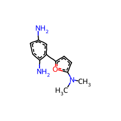 CN(C)c1ccc(-c2cc(N)ccc2N)o1